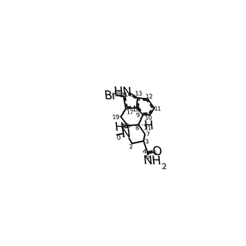 CN1CC(C(N)=O)C[C@@H]2c3cccc4[nH]c(Br)c(c34)C[C@H]21